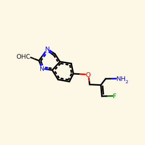 NC/C(=C\F)COc1ccc2nc(C=O)ncc2c1